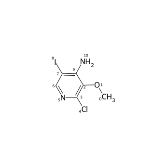 COc1c(Cl)ncc(I)c1N